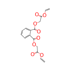 C=COC(=O)COC(=O)c1ccccc1C(=O)OCC(=O)OC=C